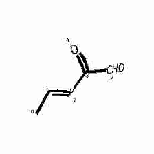 CC=PC(=O)C=O